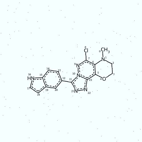 CN1CCOc2c1c(Cl)nn1c(-c3ccc4[nH]ccc4c3)nnc21